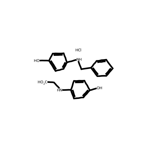 Cl.O=C(O)CNc1ccc(O)cc1.Oc1ccc(NCc2ccccc2)cc1